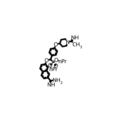 CCCOP(=O)(OCCC)C(Oc1ccc2ccc(C(=N)N)cc2c1)c1ccc(OC2CCN(C(C)=N)CC2)cc1